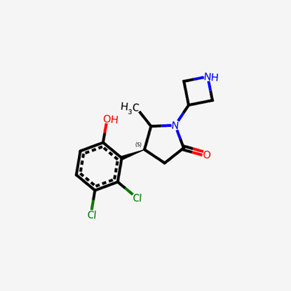 CC1[C@H](c2c(O)ccc(Cl)c2Cl)CC(=O)N1C1CNC1